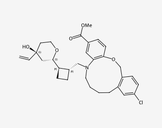 C=C[C@]1(O)CCO[C@H]([C@@H]2CC[C@H]2CN2CCCCc3cc(Cl)ccc3COc3ccc(C(=O)OC)cc32)C1